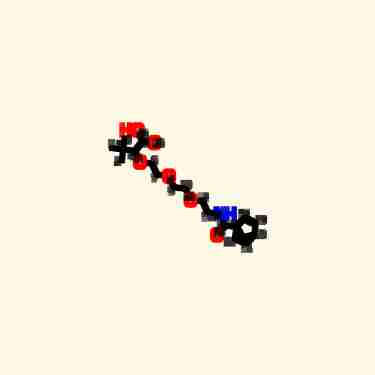 CC(C)(C)C(OCCOCCOCCNC(=O)C12C=CC(CC1)C2)C(=O)O